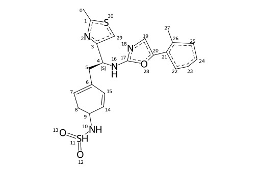 Cc1nc([C@H](CC2=CCC(N[SH](=O)=O)C=C2)Nc2ncc(-c3ccccc3C)o2)cs1